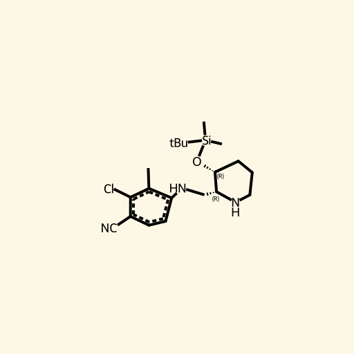 Cc1c(NC[C@H]2NCCC[C@H]2O[Si](C)(C)C(C)(C)C)ccc(C#N)c1Cl